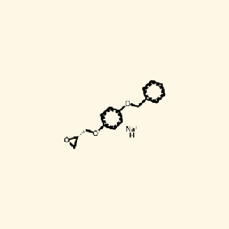 [H-].[Na+].c1ccc(COc2ccc(OC[C@@H]3CO3)cc2)cc1